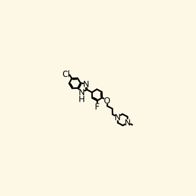 CN1CCN(CCCOC2=CCC(c3nc4cc(Cl)ccc4[nH]3)C=C2F)CC1